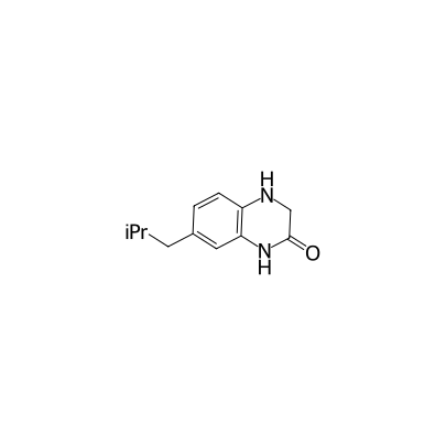 CC(C)Cc1ccc2c(c1)NC(=O)CN2